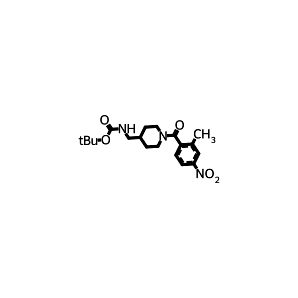 Cc1cc([N+](=O)[O-])ccc1C(=O)N1CCC(CNC(=O)OC(C)(C)C)CC1